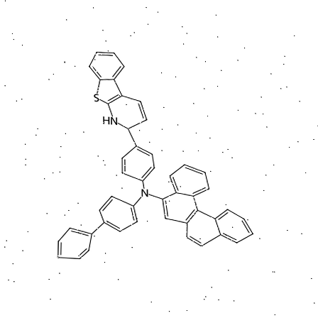 C1=CC(c2ccc(N(c3ccc(-c4ccccc4)cc3)c3cc4ccc5ccccc5c4c4ccccc34)cc2)Nc2sc3ccccc3c21